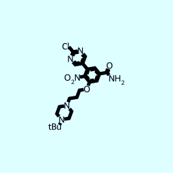 CC(C)(C)N1CCN(CCCOc2cc(C(N)=O)cc(-c3cnc(Cl)nc3)c2[N+](=O)[O-])CC1